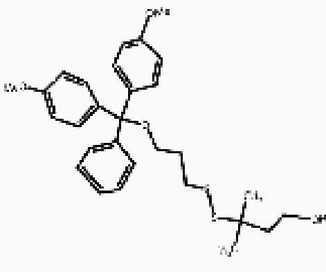 COc1ccc(C(OCCCSSC(C)(C)CCO)(c2ccccc2)c2ccc(OC)cc2)cc1